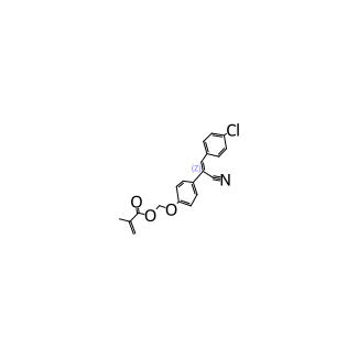 C=C(C)C(=O)OCOc1ccc(/C(C#N)=C/c2ccc(Cl)cc2)cc1